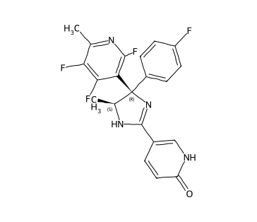 Cc1nc(F)c([C@@]2(c3ccc(F)cc3)N=C(c3ccc(=O)[nH]c3)N[C@H]2C)c(F)c1F